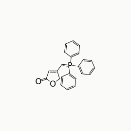 O=C1C=C(C=P(c2ccccc2)(c2ccccc2)c2ccccc2)CO1